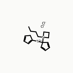 CCCC[Si]1([C]2([Ti+2][C]3=CC=CC3)C=CC=C2)CCC1.[Cl-].[Cl-]